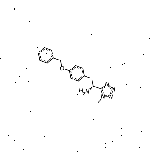 Cn1nnnc1[C@@H](N)Cc1ccc(OCc2ccccc2)cc1